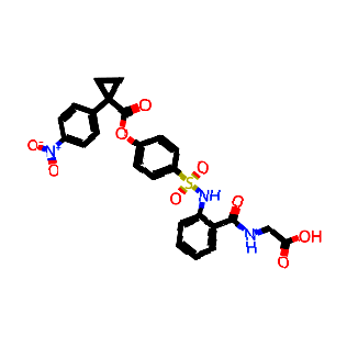 O=C(O)CNC(=O)c1ccccc1NS(=O)(=O)c1ccc(OC(=O)C2(c3ccc([N+](=O)[O-])cc3)CC2)cc1